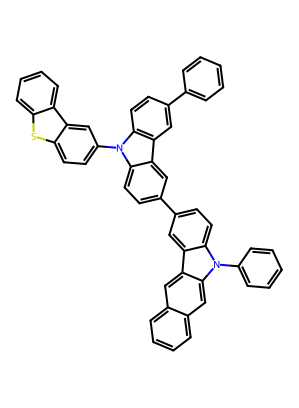 c1ccc(-c2ccc3c(c2)c2cc(-c4ccc5c(c4)c4cc6ccccc6cc4n5-c4ccccc4)ccc2n3-c2ccc3sc4ccccc4c3c2)cc1